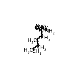 CC(C)=CCCC(C)=CCCC(C)=CCCC(C)=CCSCC(Nc1ccccn1)C(=O)NC(N)=O